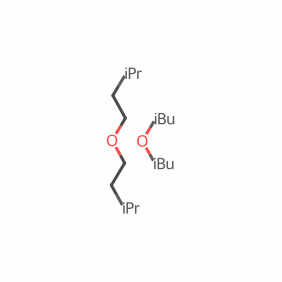 CC(C)CCOCCC(C)C.CCC(C)OC(C)CC